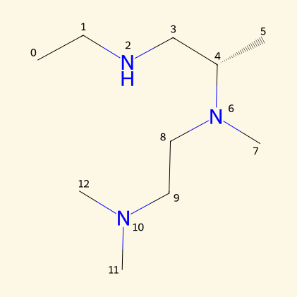 CCNC[C@H](C)N(C)CCN(C)C